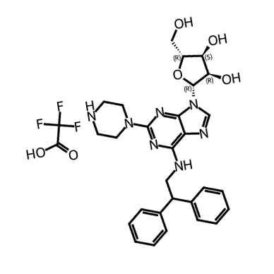 O=C(O)C(F)(F)F.OC[C@H]1O[C@@H](n2cnc3c(NCC(c4ccccc4)c4ccccc4)nc(N4CCNCC4)nc32)[C@H](O)[C@@H]1O